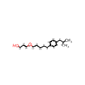 CC(C)Cc1ccc(CCCCCOCCCO)cc1